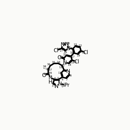 CC(C)n1ncc2c1-c1ccnc(c1)[C@@H](n1cc(Cl)c(-c3cc(Cl)ccc3-n3cc(Cl)nn3)cc1=O)CCC[C@@H](C)C(=O)N2